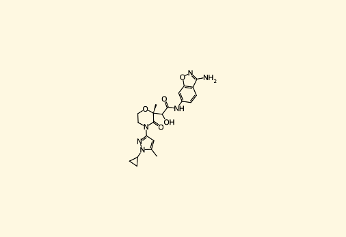 Cc1cc(N2CCO[C@](C)(C(O)C(=O)Nc3ccc4c(N)noc4c3)C2=O)nn1C1CC1